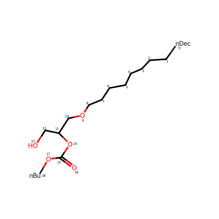 CCCCCCCCCCCCCCCCCCOCC(CO)OC(=O)OCCCC